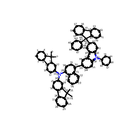 CC1(C)c2ccccc2-c2ccc(N(c3ccc4c(c3)C(C)(C)c3ccccc3-4)c3ccc(-c4ccc5c(c4)c4cc(C6(c7ccccc7)c7ccccc7-c7ccccc76)ccc4n5-c4ccccc4)c4ccccc34)cc21